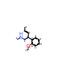 C/C=C/C(CNC)c1ccccc1OC